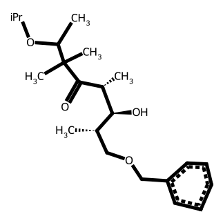 CC(C)OC(C)C(C)(C)C(=O)[C@H](C)[C@@H](O)[C@@H](C)COCc1ccccc1